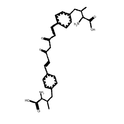 CC(Cc1ccc(C=CC(=O)CC(=O)C=Cc2ccc(CC(C)C(N)C(=O)O)cc2)cc1)C(N)C(=O)O